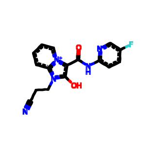 N#CCCn1c(O)c(C(=O)Nc2ccc(F)cn2)[n+]2ccccc12